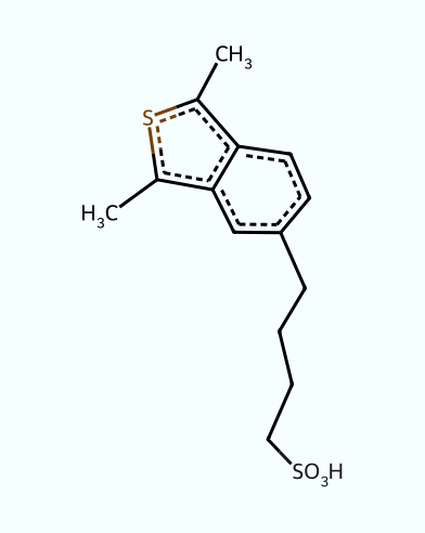 Cc1sc(C)c2cc(CCCCS(=O)(=O)O)ccc12